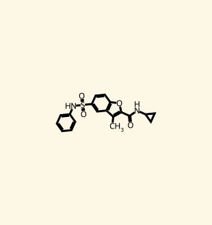 Cc1c(C(=O)NC2CC2)oc2ccc(S(=O)(=O)Nc3ccccc3)cc12